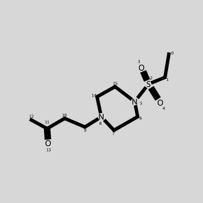 CCS(=O)(=O)N1CCN(CCC(C)=O)CC1